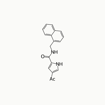 CC(=O)c1c[nH]c(C(=O)NCc2cccc3ccccc23)c1